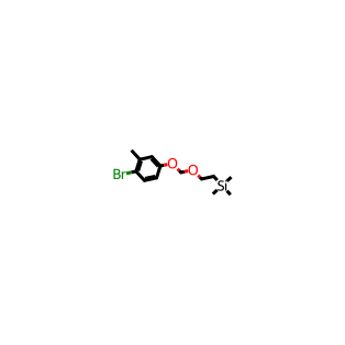 Cc1cc(OCOCC[Si](C)(C)C)ccc1Br